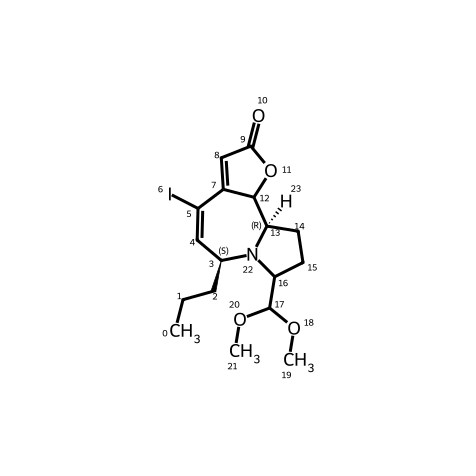 CCC[C@H]1C=C(I)C2=CC(=O)OC2[C@H]2CCC(C(OC)OC)N12